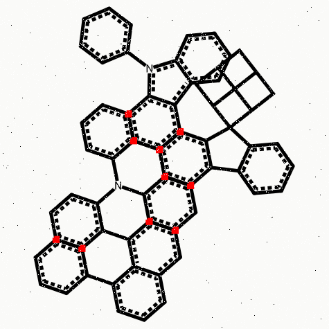 c1ccc(-c2cccc3cccc(-c4ccccc4N(c4ccccc4-c4ccc5c(c4)C4(c6ccccc6-5)C5CC6CC7CC4C675)c4ccccc4-c4ccc5c(c4)c4ccccc4n5-c4ccccc4)c23)cc1